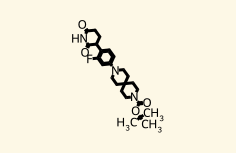 CC(C)(C)OC(=O)N1CCC2(CC1)CCN(c1ccc(C3CCC(=O)NC3=O)c(F)c1)CC2